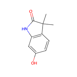 CC1(C)C(=O)Nc2cc(O)ccc21